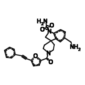 NCc1ccc2c(c1)C1(CCN(C(=O)c3ccc(C#Cc4ccccc4)o3)CC1)CN2S(N)(=O)=O